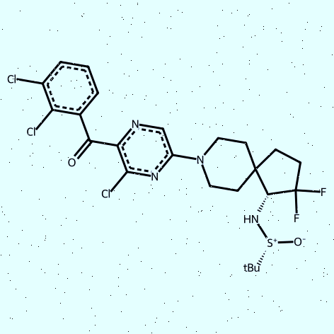 CC(C)(C)[S@@+]([O-])N[C@H]1C(F)(F)CCC12CCN(c1cnc(C(=O)c3cccc(Cl)c3Cl)c(Cl)n1)CC2